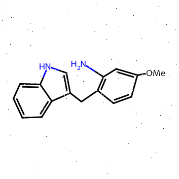 COc1ccc(Cc2c[nH]c3ccccc23)c(N)c1